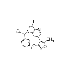 Cc1noc(C)c1-c1cnc2c(I)cn(C(c3ccccn3)C3CC3)c2c1